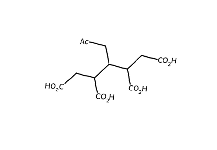 CC(=O)CC(C(CC(=O)O)C(=O)O)C(CC(=O)O)C(=O)O